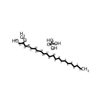 CCCCCCCCCCCCCCCCCCSCC(CO)OC.O=P(O)(O)O